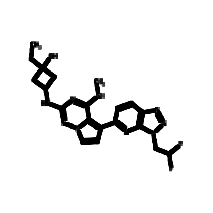 CCC1(O)CC(Nc2nc(NC)c3c(-c4ccc5nnn(CC(F)F)c5n4)ccn3n2)C1